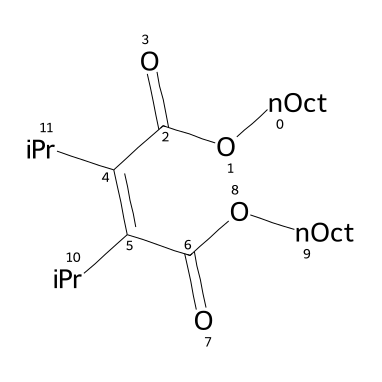 CCCCCCCCOC(=O)C(=C(C(=O)OCCCCCCCC)C(C)C)C(C)C